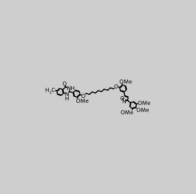 COc1cc(C2NC(=O)c3cc(C)ccc3N2)ccc1OCCCCCCCCCCOc1cc(-c2cc(-c3cc(OC)c(OC)c(OC)c3)no2)ccc1OC